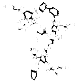 CCCC(=O)Oc1cc(/N=N/c2cccc(-c3cccc(/N=N/c4cc(OC(=O)CCC)c(NC(=O)OC)nc4NC(C)=O)c3)c2)c(NC(=O)OC)nc1NC(=O)CCOC(=O)Nc1nc(NC(=O)OC)c(/N=N/c2ccccc2)cc1OC(=O)N(CC)CC